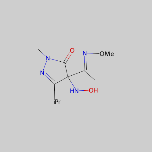 CON=C(C)C1(NO)C(=O)N(C)N=C1C(C)C